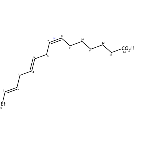 CCC=CCC=CC/C=C\CCCCCC(=O)O